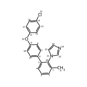 Cc1cccc(-c2ccc(Oc3ccc(Cl)cc3)cc2)c1-n1ccnc1